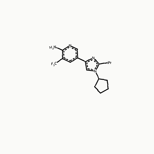 CC(C)c1nc(-c2cnc(N)c(C(F)(F)F)c2)cn1C1CCCC1